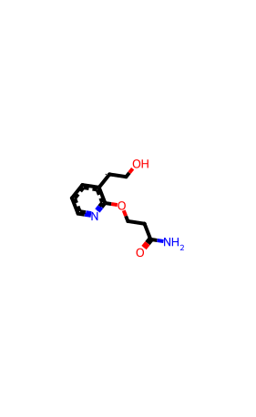 NC(=O)CCOc1ncccc1[CH]CO